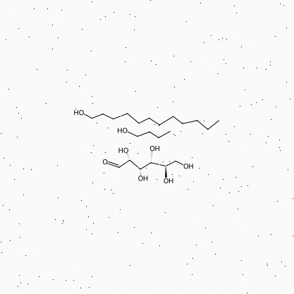 CCCCCCCCCCCCO.CCCCO.O=C[C@H](O)[C@@H](O)[C@H](O)[C@H](O)CO